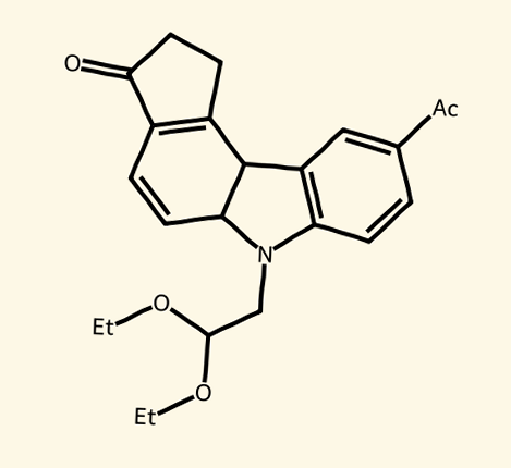 CCOC(CN1c2ccc(C(C)=O)cc2C2C3=C(C=CC21)C(=O)CC3)OCC